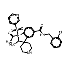 CC(=O)[N+]1(S(=O)(=O)c2cccnc2)c2ccc(C(=O)NCc3ccccc3Cl)cc2C2(CCNCC2)C1C